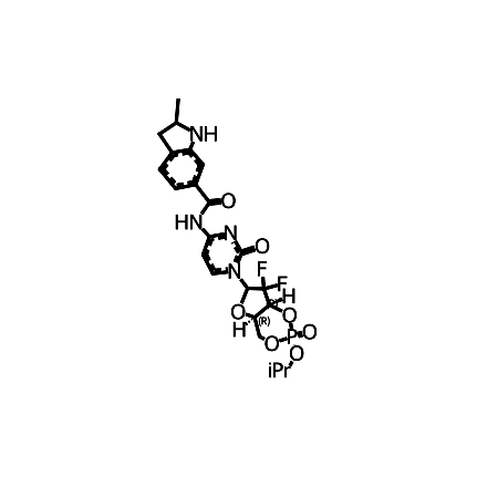 CC1Cc2ccc(C(=O)Nc3ccn(C4O[C@@H]5COP(=O)(OC(C)C)O[C@H]5C4(F)F)c(=O)n3)cc2N1